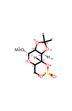 CO[C@H]1OC2COS(=O)O[C@H]2[C@@H]2OC(C)(C)OC12